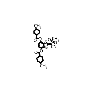 CC1CCC(C(=O)Oc2ccc(OC(=O)C3CCC(C)CC3)c3c2SC(=C(C#N)S(C)(=O)=O)S3)CC1